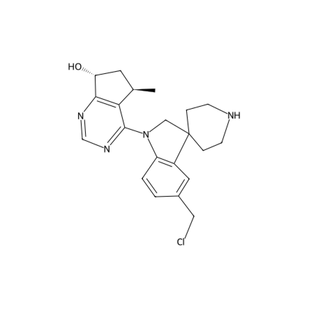 C[C@@H]1C[C@@H](O)c2ncnc(N3CC4(CCNCC4)c4cc(CCl)ccc43)c21